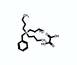 CCCC[N+](CCCC)(CCCC)Cc1ccccc1.O=C(O)C(=O)O